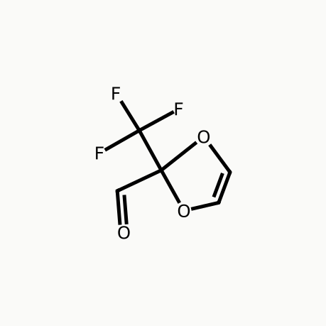 O=CC1(C(F)(F)F)OC=CO1